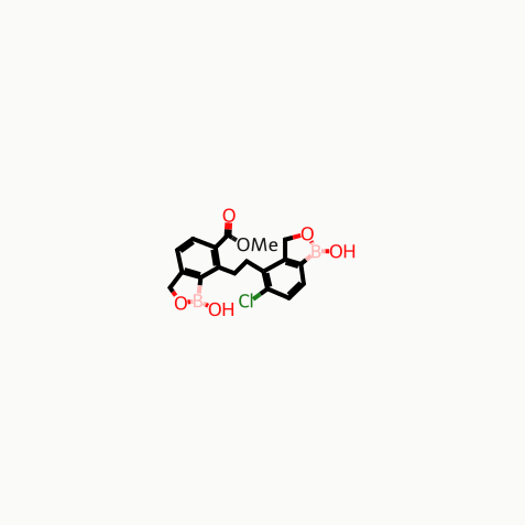 COC(=O)c1ccc2c(c1CCc1c(Cl)ccc3c1COB3O)B(O)OC2